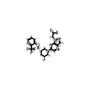 C[C@H]1C[C@H](COc2cccnc2C(F)(F)F)CN(c2cnc3cnn(CC(F)F)c3n2)C1